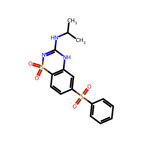 CC(C)NC1=NS(=O)(=O)c2ccc(S(=O)(=O)c3ccccc3)cc2N1